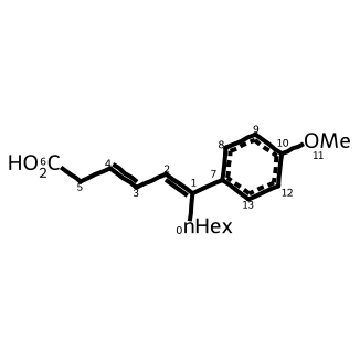 CCCCCC/C(=C\C=C\CC(=O)O)c1ccc(OC)cc1